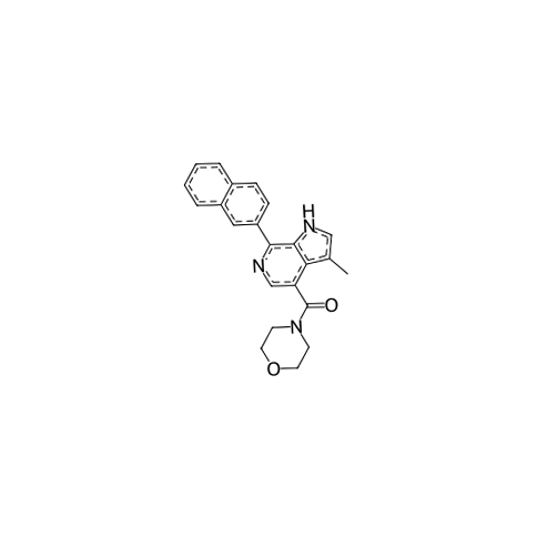 Cc1c[nH]c2c(-c3ccc4ccccc4c3)ncc(C(=O)N3CCOCC3)c12